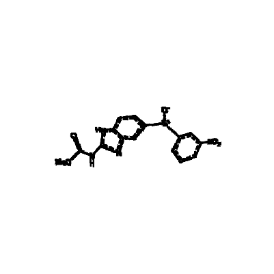 COC(=O)Nc1nc2cc([S+]([O-])c3cccc([N+](=O)[O-])c3)ccc2[nH]1